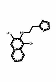 CCCc1cc2ccccc2c(O)c1NCCc1cccs1